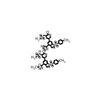 Cc1ccc(S(=O)(=O)n2ncc3c(-c4nnc(C)o4)cc(-c4cnc(Cl)c(NS(C)(=O)=O)c4)cc32)cc1.Cc1ccc(S(=O)(=O)n2ncc3c(-c4nnn[nH]4)cc(-c4cnc(Cl)c(CS(N)(=O)=O)c4)cc32)cc1